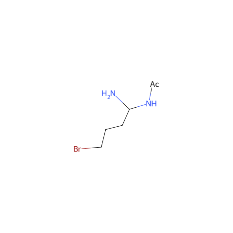 CC(=O)NC(N)CCCBr